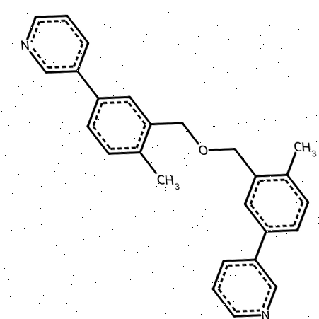 Cc1ccc(-c2cccnc2)cc1COCc1cc(-c2cccnc2)ccc1C